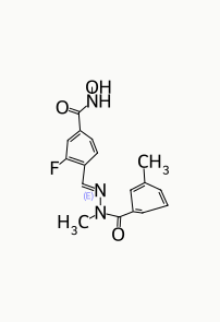 Cc1cccc(C(=O)N(C)/N=C/c2ccc(C(=O)NO)cc2F)c1